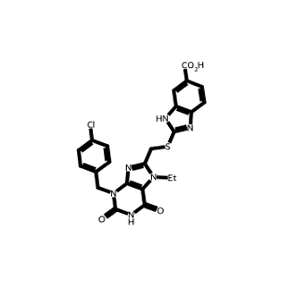 CCn1c(CSc2nc3ccc(C(=O)O)cc3[nH]2)nc2c1c(=O)[nH]c(=O)n2Cc1ccc(Cl)cc1